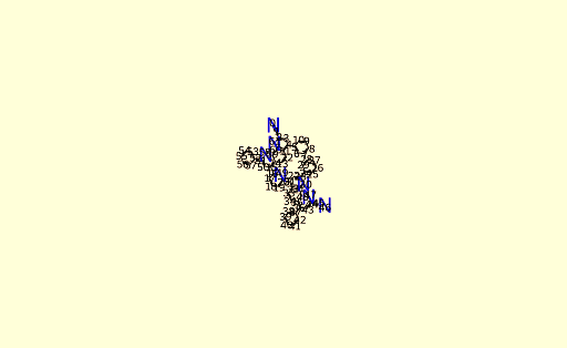 N#Cc1cc(-c2ccccc2)c2ccc3c(-c4cccc(-c5cc(-c6ccccc6)nc6c5ccc5c(-c7ccccc7)cc(C#N)nc56)n4)cc(-c4ccccc4)nc3c2n1